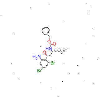 CCOC(=O)[C@H](CC(=O)c1c(N)cc(Br)cc1Br)NC(=O)OCc1ccccc1